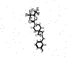 Cc1cccc(CN2CC3(CCN(C(=O)OC(C(F)(F)F)C(F)(F)F)CC3)C2)c1